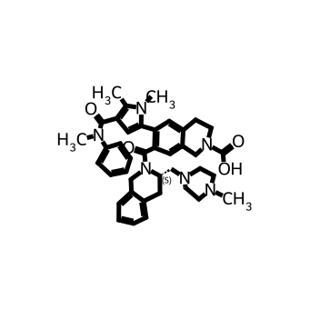 Cc1c(C(=O)N(C)c2ccccc2)cc(-c2cc3c(cc2C(=O)N2Cc4ccccc4C[C@H]2CN2CCN(C)CC2)CN(C(=O)O)CC3)n1C